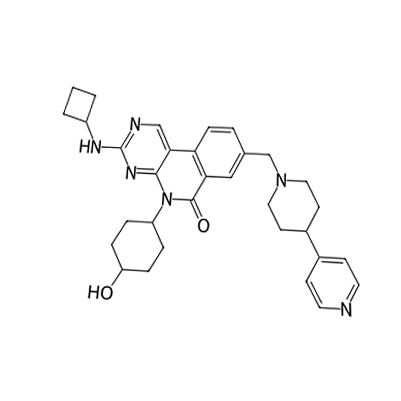 O=c1c2cc(CN3CCC(c4ccncc4)CC3)ccc2c2cnc(NC3CCC3)nc2n1C1CCC(O)CC1